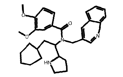 COc1ccc(C(=O)N(Cc2cnc3ccccc3c2)C(CC2CCCCC2)C2CCCN2)cc1OC